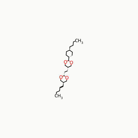 CCCC=C[C@H]1CO[C@H](CC[C@H]2CO[C@H]([C@H]3CC[C@H](CCCC)CC3)OC2)OC1